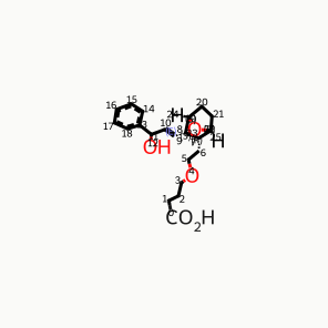 O=C(O)CCCOCC[C@@H]1[C@H](/C=C/C(O)c2ccccc2)[C@@H]2CC[C@H]1O2